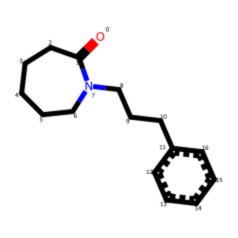 O=C1CCCCCN1CCCc1ccccc1